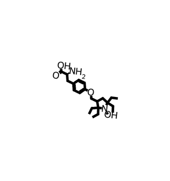 CCC1(CC)CC(COc2ccc(C[C@H](N)C(=O)O)cc2)C(CC)(CC)N1O